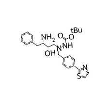 CC(C)(C)OC(=O)NN(Cc1ccc(-c2nccs2)cc1)C[C@H](O)[C@@H](N)Cc1ccccc1